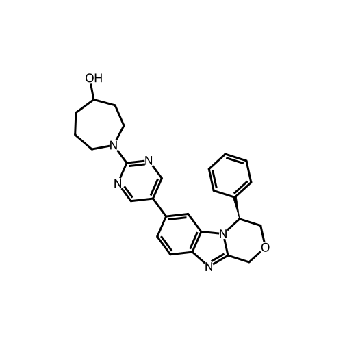 OC1CCCN(c2ncc(-c3ccc4nc5n(c4c3)[C@@H](c3ccccc3)COC5)cn2)CC1